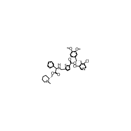 COc1ccc([C@H](Cc2c(Cl)cncc2Cl)OC(=O)c2ccc(CNC(C(=O)OC[C@H]3CCCCN3C)c3ccccc3)s2)cc1OC